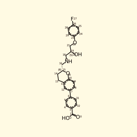 O=C(O)c1ccc(-c2ccc3c(c2)CC[C@H](CNC[C@H](O)COc2ccc(F)cc2)O3)cc1